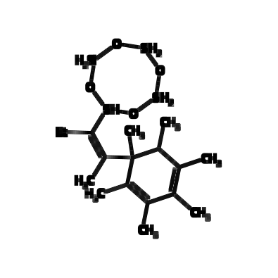 CCC(=C(C)C1(C)C(C)=C(C)C(C)=C(C)C1C)[SiH]1O[SiH2]O[SiH2]O[SiH2]O1